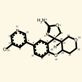 NC1=N[C@@]2(CO1)c1cc(-c3cncc(Cl)c3)ccc1OC1CCOC[C@H]12